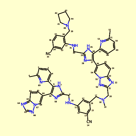 Cc1cccc(-c2[nH]c(CNc3cc(C#N)cc(CN(C)Cc4nc5ccc(-c6nc(CNc7cc(C#N)ccc7CN7CCCC7)[nH]c6-c6cccc(C)n6)cn5n4)c3)nc2-c2ccc3ncnn3c2)n1